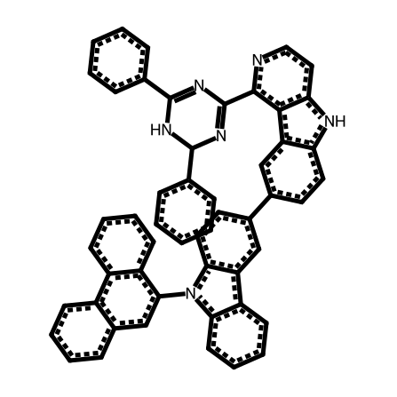 c1ccc(C2=NC(c3nccc4[nH]c5ccc(-c6ccc7c(c6)c6ccccc6n7-c6cc7ccccc7c7ccccc67)cc5c34)=NC(c3ccccc3)N2)cc1